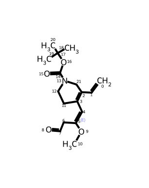 C=CC1=C(/C=C(\CC=O)OC)CCN(C(=O)OC(C)(C)C)C1